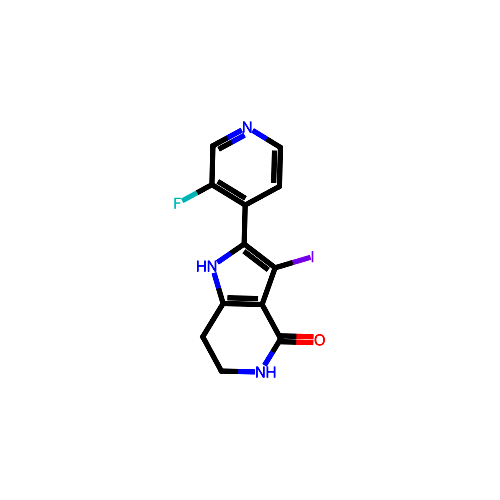 O=C1NCCc2[nH]c(-c3ccncc3F)c(I)c21